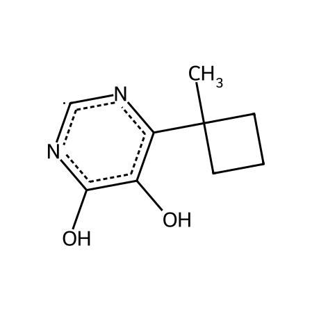 CC1(c2n[c]nc(O)c2O)CCC1